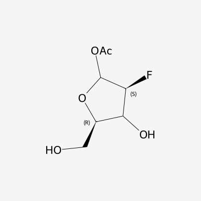 CC(=O)OC1O[C@H](CO)C(O)[C@@H]1F